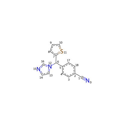 N#Cc1ccc(C(c2cccs2)n2ccnc2)cc1